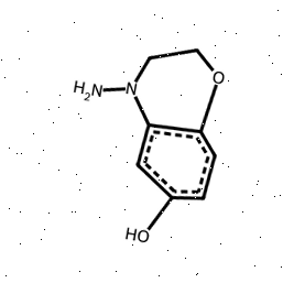 NN1CCOc2ccc(O)cc21